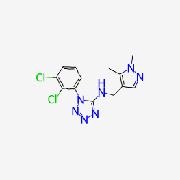 Cc1c(CNc2nnnn2-c2cccc(Cl)c2Cl)cnn1C